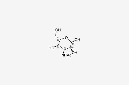 CC(=O)N[C@H]1[C@@H](O)[C@H](CO)O[C@@H](O)[C@H]1O